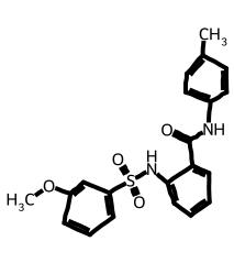 COc1cccc(S(=O)(=O)Nc2ccccc2C(=O)Nc2ccc(C)cc2)c1